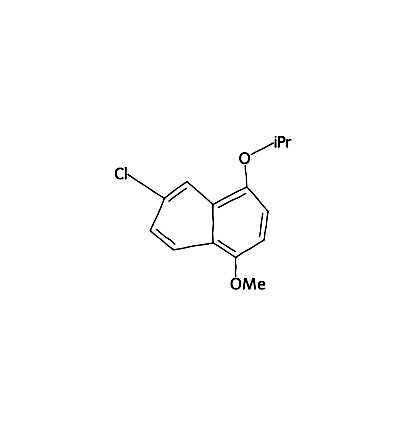 COc1ccc(OC(C)C)c2cc(Cl)ccc12